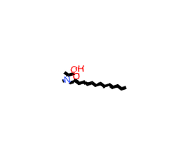 CCCCCCCCCCCCCCN(C)C(C)C(=O)O